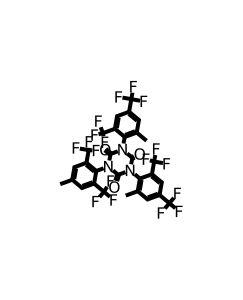 Cc1cc(C(F)(F)F)c(-n2c(=O)n(-c3c(C)cc(C(F)(F)F)cc3C(F)(F)F)c(=O)n(-c3c(C)cc(C(F)(F)F)cc3C(F)(F)F)c2=O)c(C(F)(F)F)c1